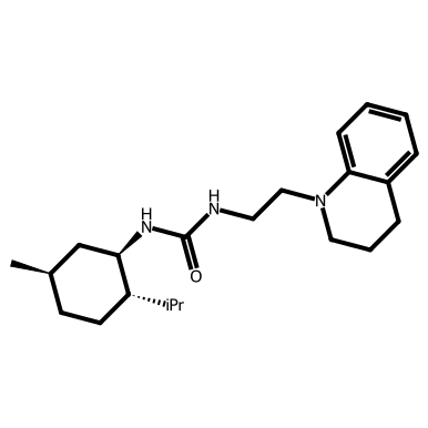 CC(C)[C@@H]1CC[C@@H](C)C[C@H]1NC(=O)NCCN1CCCc2ccccc21